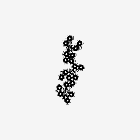 c1ccc(C2(c3ccc(-c4cc(-c5nc(-c6ccc7oc8ccccc8c7c6)nc(-c6ccccc6-c6ccccc6-c6cccc7oc8c(-c9nc(-c%10ccccc%10-c%10cccc%11ccccc%10%11)nc(-c%10cccc%11sc%12ccccc%12c%10%11)n9)cccc8c67)n5)c5oc6ccccc6c5c4)cc3)c3ccccc3-c3c(-c4nc(-c5ccc6oc7ccccc7c6c5)nc(-c5cccc6c5oc5ccccc56)n4)cccc32)cc1